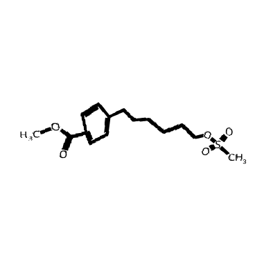 COC(=O)c1ccc(CCCCCCOS(C)(=O)=O)cc1